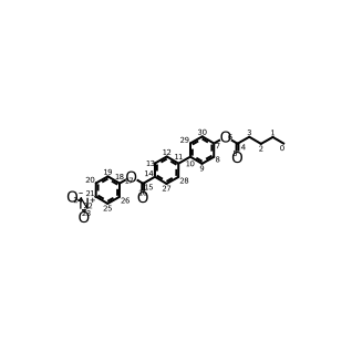 CCCCC(=O)Oc1ccc(-c2ccc(C(=O)Oc3ccc([N+](=O)[O-])cc3)cc2)cc1